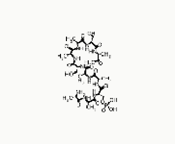 CC(=O)[C@H](C)NC(=O)[C@H](CO)NC(=O)[C@H](C)NC(=O)[C@H](C)NC(=O)[C@H](CO)NC(=O)[C@H](C)NC(=O)[C@H](C)NC(=O)[C@H](COP(=O)(O)O)NC(=O)[C@H](C)NC(=O)[C@H](C)N